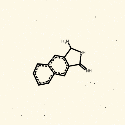 N=C1NC(N)c2cc3ccccc3cc21